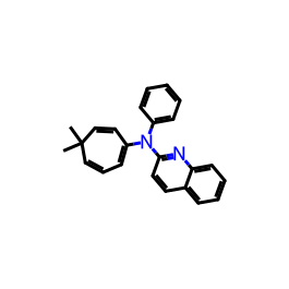 CC1(C)C=CC=C(N(c2ccccc2)c2ccc3ccccc3n2)C=C1